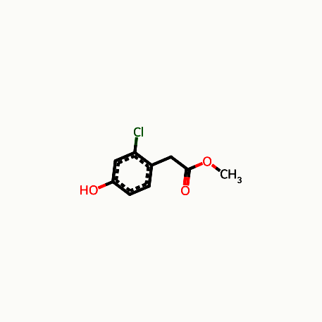 COC(=O)Cc1ccc(O)cc1Cl